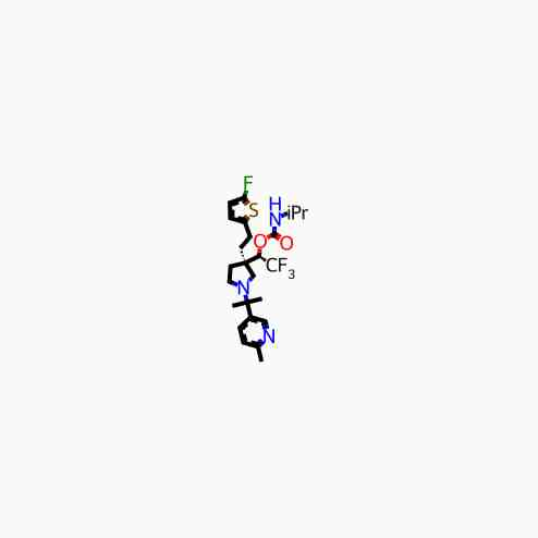 Cc1ccc(C(C)(C)N2CC[C@@](CCc3ccc(F)s3)([C@@H](OC(=O)NC(C)C)C(F)(F)F)C2)cn1